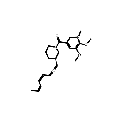 C/C=C\C=C/C=C=C[C@H]1CCCN(C(=O)C2=CC(OC)=C(OC)N(C)C2)C1